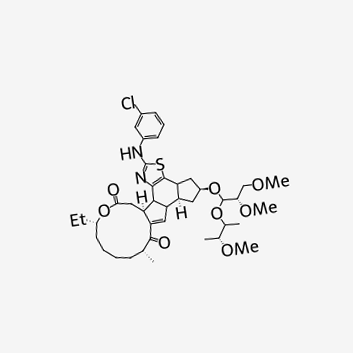 CC[C@H]1CCCC[C@@H](C)C(=O)C2=CC3C(c4nc(Nc5cccc(Cl)c5)sc4C4C[C@@H](OC(OC(C)[C@@H](C)OC)[C@H](COC)OC)C[C@H]43)[C@@H]2CC(=O)O1